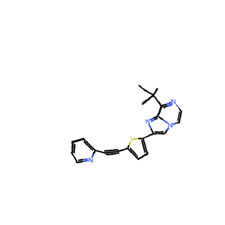 CC(C)(C)c1nccn2[c]c(-c3ccc(C#Cc4ccccn4)s3)nc12